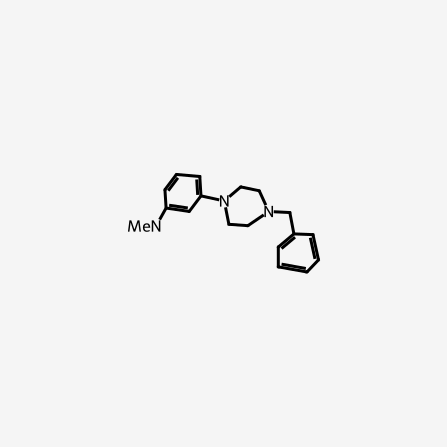 CNc1cccc(N2CCN(Cc3ccccc3)CC2)c1